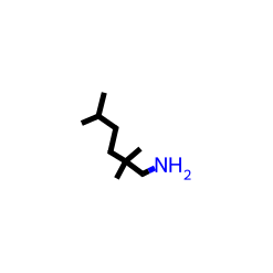 CC(C)CCC(C)(C)CN